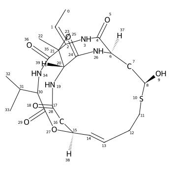 C/C=C1\NC(=O)[C@H]2C[C@@H](O)SCC/C=C/[C@H](CC(=O)N[C@H](C(C)C)C(=O)N2)OC(=O)C(C(C)C)NC1=O